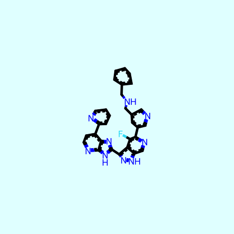 Fc1c(-c2cncc(CNCc3ccccc3)c2)ncc2[nH]nc(-c3nc4c(-c5ccccn5)ccnc4[nH]3)c12